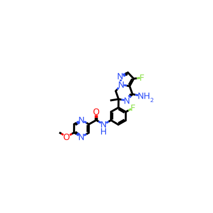 COc1cnc(C(=O)Nc2ccc(F)c(C3(C)Cn4ncc(F)c4C(N)=N3)c2)cn1